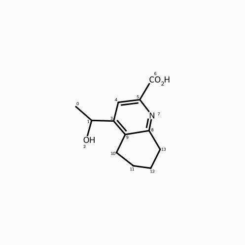 CC(O)c1cc(C(=O)O)nc2c1CCCC2